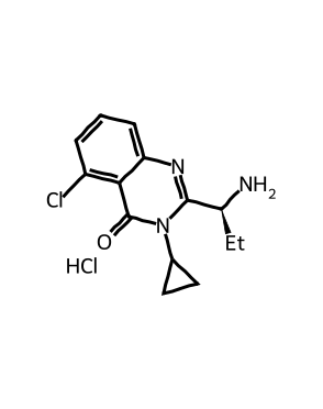 CC[C@H](N)c1nc2cccc(Cl)c2c(=O)n1C1CC1.Cl